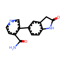 NC(=O)c1ccncc1-c1ccc2c(c1)CC(=O)N2